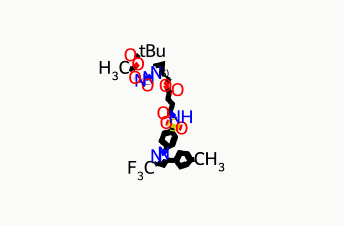 Cc1ccc(-c2cc(C(F)(F)F)nn2-c2ccc(S(=O)(=O)NC(=O)CCC(=O)OC[C@@H]3CCN3n3on3OC(C)OC(=O)C(C)(C)C)cc2)cc1